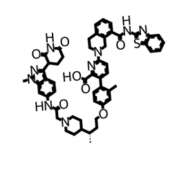 Cc1cc(OCC[C@H](C)C2CCN(CC(=O)Nc3ccc4c(C5CCC(=O)NC5=O)nn(C)c4c3)CC2)ccc1-c1ccc(N2CCc3cccc(C(=O)Nc4nc5ccccc5s4)c3C2)nc1C(=O)O